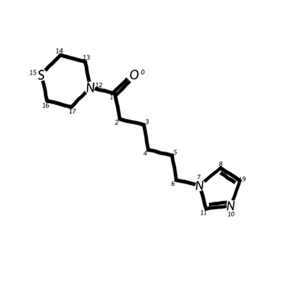 O=C(CCCCCn1c[c]nc1)N1CCSCC1